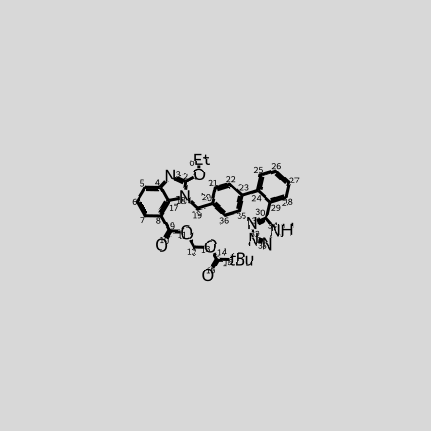 CCOc1nc2cccc(C(=O)OCOC(=O)C(C)(C)C)c2n1Cc1ccc(-c2ccccc2-c2nnn[nH]2)cc1